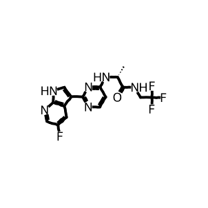 C[C@@H](Nc1ccnc(-c2c[nH]c3ncc(F)cc23)n1)C(=O)NCC(F)(F)F